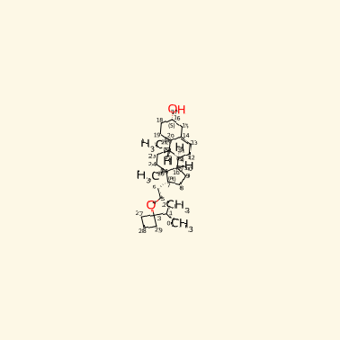 CC(C)C1(OCC[C@H]2CC[C@H]3[C@@H]4CC=C5C[C@@H](O)CC[C@]5(C)[C@H]4CC[C@]23C)CCC1